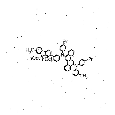 CCCCCCCCC1(CCCCCCCC)c2cc(C)ccc2-c2ccc(-c3cccc(N(c4ccc(C(C)C)cc4)c4cc5c6ccccc6c(N(c6ccc(C(C)C)cc6)c6cccc(C)c6)cc5c5ccccc45)c3)cc21